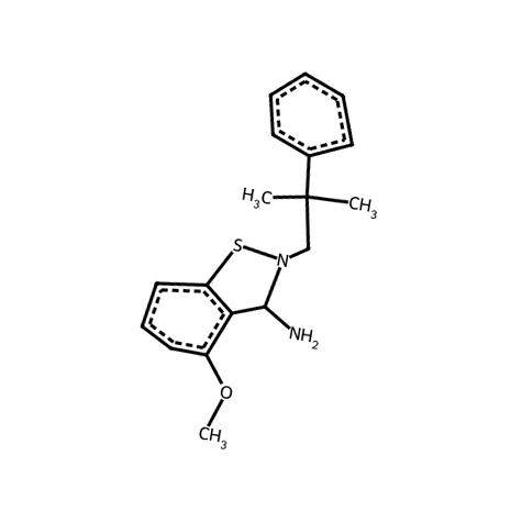 COc1cccc2c1C(N)N(CC(C)(C)c1ccccc1)S2